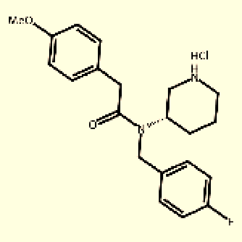 COc1ccc(CC(=O)N(Cc2ccc(F)cc2)[C@H]2CCCNC2)cc1.Cl